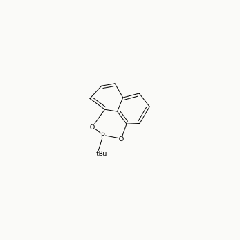 CC(C)(C)P1Oc2cccc3cccc(c23)O1